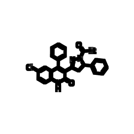 CCC(=O)N1N=C(c2c(-c3ccccc3)c3cc(Cl)ccc3[nH]c2=O)CC1c1ccccc1